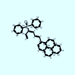 C=C/C(=C\C=C\c1ccc2ccc3cccc4ccc1c2c34)P(=O)(c1ccccc1)c1ccccc1